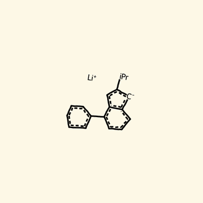 CC(C)c1cc2c(-c3ccccc3)cccc2[cH-]1.[Li+]